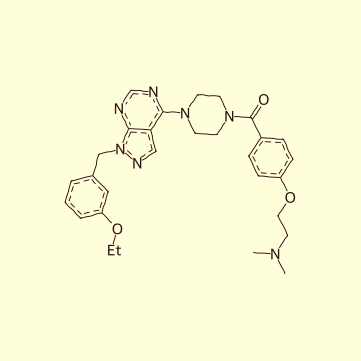 CCOc1cccc(Cn2ncc3c(N4CCN(C(=O)c5ccc(OCCN(C)C)cc5)CC4)ncnc32)c1